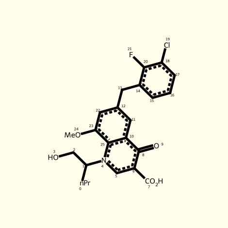 CCCC(CO)n1cc(C(=O)O)c(=O)c2cc(Cc3cccc(Cl)c3F)cc(OC)c21